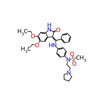 CCOc1cc2c(cc1OCC)C(=C(Nc1ccc(N(CCN3CCCC3)S(C)(=O)=O)cc1)c1ccccc1)C(=O)N2